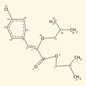 CC(C)COC(=O)/C(=C/c1ccc(Cl)cc1)OCC(C)C